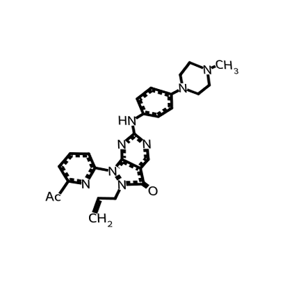 C=CCn1c(=O)c2cnc(Nc3ccc(N4CCN(C)CC4)cc3)nc2n1-c1cccc(C(C)=O)n1